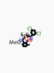 CNC(=O)/C(=N/OC)c1cccc(C)c1CO/N=C(\CC(F)(F)F)c1cc(Cl)cc(Cl)c1